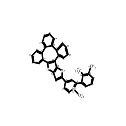 Cc1cccc(-c2cc(-c3cc4sc5c(c4s3)-c3ccccc3-c3ccccc3-c3ccccc3-5)cc[n+]2C)c1C